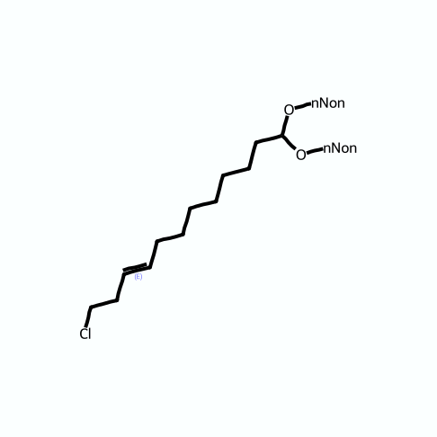 CCCCCCCCCOC(CCCCCCC/C=C/CCCl)OCCCCCCCCC